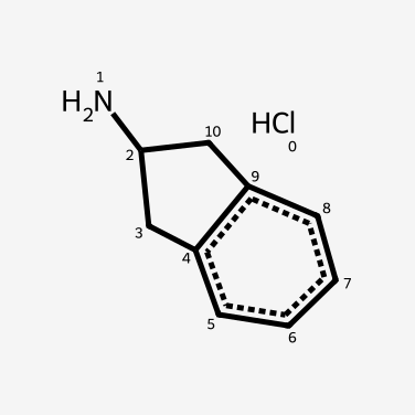 Cl.NC1Cc2ccccc2C1